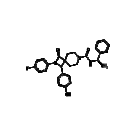 C[C@@H](NC(=O)N1CCC2(CC1)C(=O)N(c1ccc(F)cc1)C2c1ccc(O)cc1)c1ccccc1